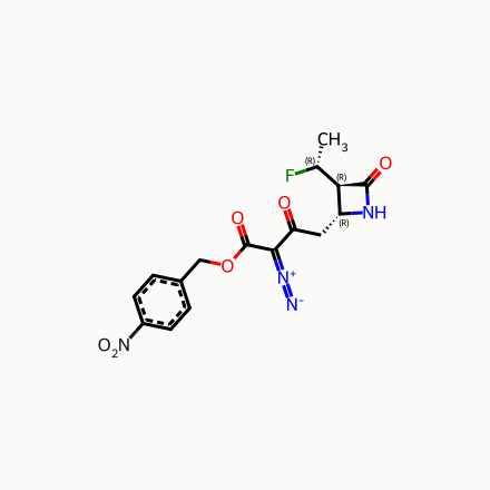 C[C@@H](F)[C@H]1C(=O)N[C@@H]1CC(=O)C(=[N+]=[N-])C(=O)OCc1ccc([N+](=O)[O-])cc1